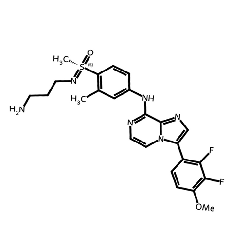 COc1ccc(-c2cnc3c(Nc4ccc([S@](C)(=O)=NCCCN)c(C)c4)nccn23)c(F)c1F